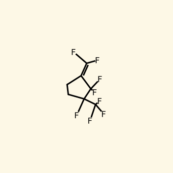 FC(F)=C1CCC(F)(C(F)(F)F)C1(F)F